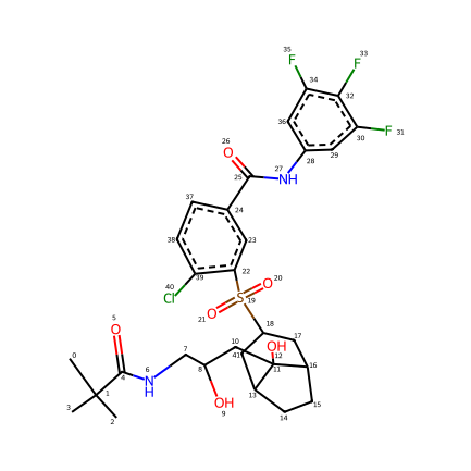 CC(C)(C)C(=O)NCC(O)CC1(O)C2CCC1CC(S(=O)(=O)c1cc(C(=O)Nc3cc(F)c(F)c(F)c3)ccc1Cl)C2